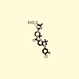 CCOC(=O)c1sc(N2CCN(C(=O)c3ccc4c(n3)C(C)(C)CN4c3ccc(Cl)c(F)c3)C(C)(C)C2)nc1C